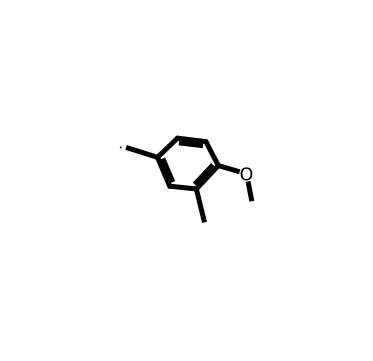 [CH2]c1ccc(OC)c(C)c1